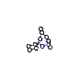 c1ccc(-c2cc3ccccc3cc2-c2ccc(N(c3ccc(-c4cccc5cccc(-c6ccccc6)c45)cc3)c3cccc(-n4c5ccccc5c5ccccc54)c3)cc2)cc1